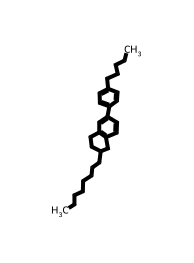 CCCCCCCCC1CCc2cc(-c3ccc(CCCCC)cc3)ccc2C1